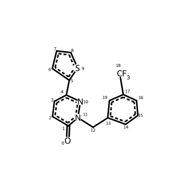 O=c1ccc(-c2cccs2)nn1Cc1cccc(C(F)(F)F)c1